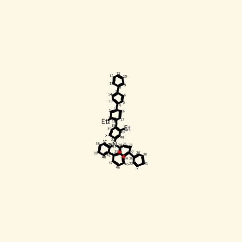 CCc1cc(-c2ccc(-c3ccccc3)cc2)ccc1-c1ccc(N(c2ccc(-c3ccccc3)cc2)c2ccccc2-c2ccccc2)cc1CC